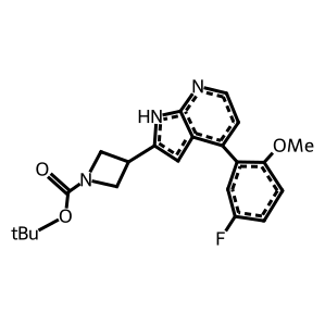 COc1ccc(F)cc1-c1ccnc2[nH]c(C3CN(C(=O)OC(C)(C)C)C3)cc12